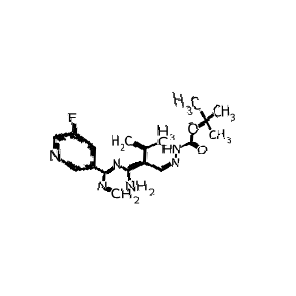 C=N\C(=N/C(N)=C(/C=N\NC(=O)OC(C)(C)C)C(=C)C)c1cncc(F)c1